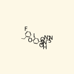 CCc1cc(F)ccc1Oc1ccc(S(=O)(=O)Nc2ncns2)cc1I